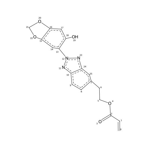 C=CC(=O)OCCc1ccc2nn(-c3cc4c(cc3O)OCO4)nc2c1